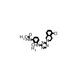 CC(=O)Nc1cccc(Nc2ncnc(N3CCc4c(Cl)cccc4C3)n2)c1C